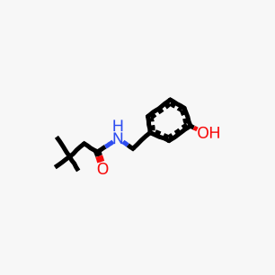 CC(C)(C)CC(=O)NCc1cccc(O)c1